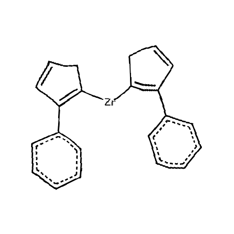 C1=CC(c2ccccc2)=[C]([Zr][C]2=C(c3ccccc3)C=CC2)C1